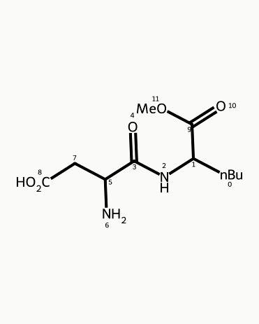 CCCCC(NC(=O)C(N)CC(=O)O)C(=O)OC